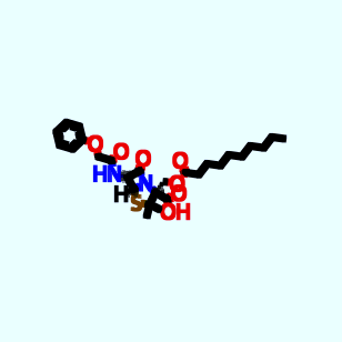 CCCCCCCCCC(=O)OC[C@@]1(C(=O)O)N2C(=O)[C@@H](NC(=O)COc3ccccc3)[C@H]2SC1(C)C